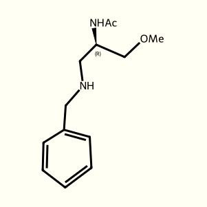 COC[C@@H](CNCc1ccccc1)NC(C)=O